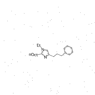 CCCCCCCCc1nc(CCCc2ccccc2)cn1CC